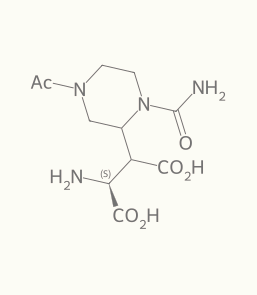 CC(=O)N1CCN(C(N)=O)C(C(C(=O)O)[C@H](N)C(=O)O)C1